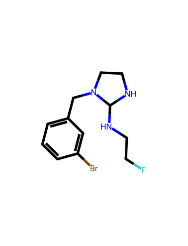 FCCNC1NCCN1Cc1cccc(Br)c1